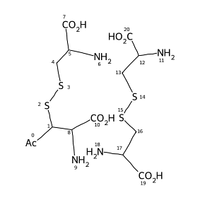 CC(=O)C(SSCC(N)C(=O)O)C(N)C(=O)O.NC(CSSCC(N)C(=O)O)C(=O)O